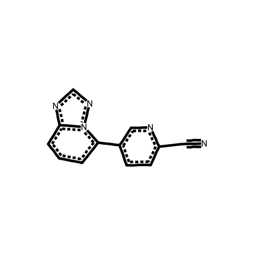 N#Cc1ccc(-c2cccc3ncnn23)cn1